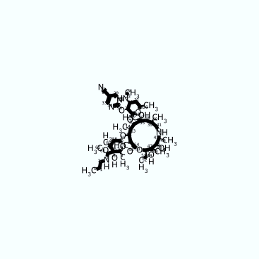 CCCNC[C@]1(O)[C@H](C)O[C@@H](O[C@H]2[C@H](C)[C@@H](O[C@@H]3O[C@H](C)C[C@H](NC)[C@H]3Oc3ncc(C#N)cn3)[C@](C)(O)C[C@@H](C)CN[C@H](C)[C@@H](O)[C@](C)(O)[C@@H](CC)OC(=O)[C@@H]2C)C[C@@]1(C)OC